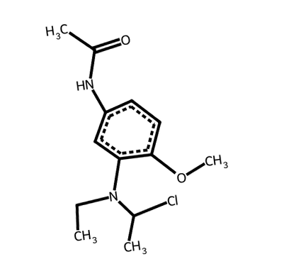 CCN(c1cc(NC(C)=O)ccc1OC)C(C)Cl